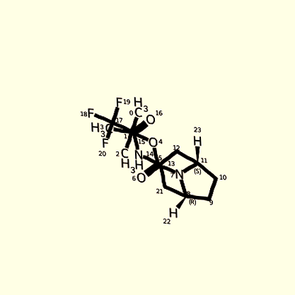 CC(C)(C)OC(=O)N1[C@@H]2CC[C@H]1CC(NC(=O)C(F)(F)F)C2